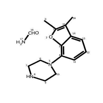 Cc1oc2c(N3CCNCC3)cccc2c1C.NC=O